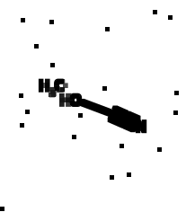 N#CO.[CH3]